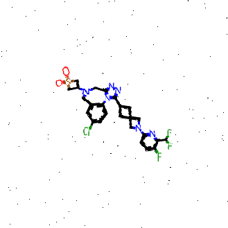 O=S1(=O)CC(N2Cc3cc(Cl)ccc3-n3c(nnc3C3CC4(C3)CN(c3ccc(F)c(C(F)F)n3)C4)C2)C1